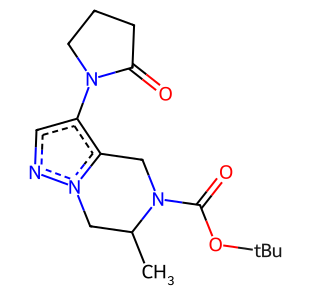 CC1Cn2ncc(N3CCCC3=O)c2CN1C(=O)OC(C)(C)C